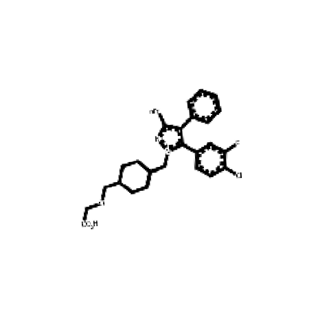 CCCc1nn(CC2CCC(COCC(=O)O)CC2)c(-c2ccc(Cl)c(F)c2)c1-c1ccccc1